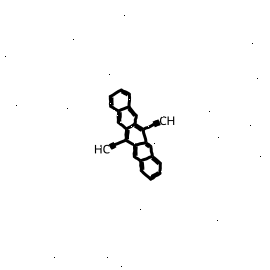 C#Cc1c2cc3ccccc3cc2c(C#C)c2cc3ccccc3cc12